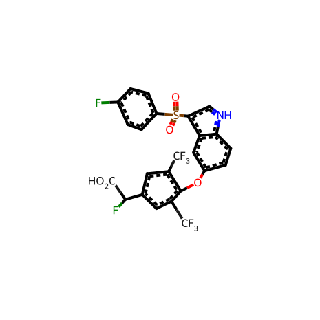 O=C(O)C(F)c1cc(C(F)(F)F)c(Oc2ccc3[nH]cc(S(=O)(=O)c4ccc(F)cc4)c3c2)c(C(F)(F)F)c1